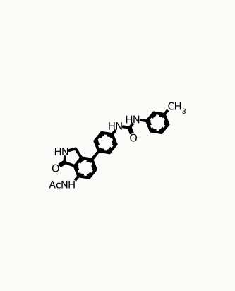 CC(=O)Nc1ccc(-c2ccc(NC(=O)Nc3cccc(C)c3)cc2)c2c1C(=O)NC2